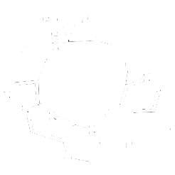 C[C@@H]1COc2cn3ncc4c3nc2N1Cc1cc(F)cnc1OCCC(C)(C)NC4=O